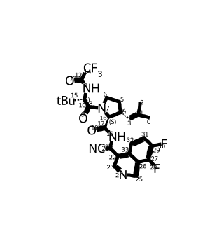 CC(C)=C[C@H]1CCN(C(=O)[C@@H](NC(=O)C(F)(F)F)C(C)(C)C)[C@@H]1C(=O)NC(C#N)c1cncc2c(F)c(F)ccc12